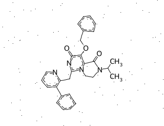 CC(C)N1CCn2c(Cc3ncccc3-c3ccccc3)nc(=O)c(OCc3ccccc3)c2C1=O